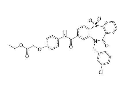 CCOC(=O)COc1ccc(NC(=O)c2ccc3c(c2)N(Cc2cccc(Cl)c2)C(=O)c2ccccc2S3(=O)=O)cc1